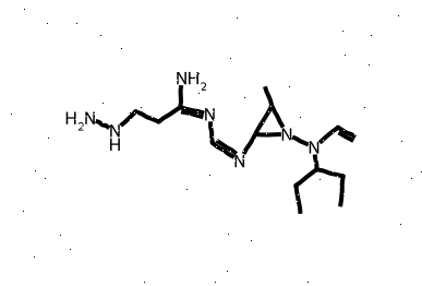 C=CN(C(CC)CC)N1C(C)C1/N=C\N=C(\N)CCNN